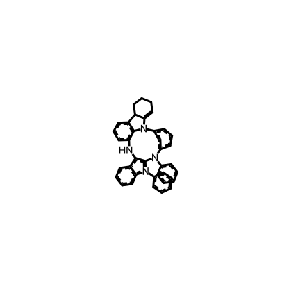 C1=C2C(CCC1)c1cccc3c1N2c1cccc(c1)N(c1ccccc1)c1c(c2ccccc2n1-c1ccccc1)N3